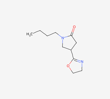 CCCCN1CC(C2=NCCO2)CC1=O